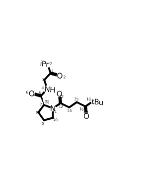 CC(C)C(=O)CNC(=O)[C@@H]1CCCN1C(=O)CCC(=O)C(C)(C)C